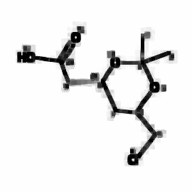 CC1(C)OC(CCl)C[C@H](CC(=O)O)O1